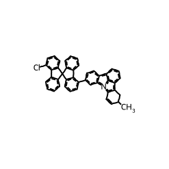 CC1C=Cc2c(c3cccc4c5ccc(-c6cccc7c6-c6ccccc6C76c7ccccc7-c7c(Cl)cccc76)cc5n2c34)C1